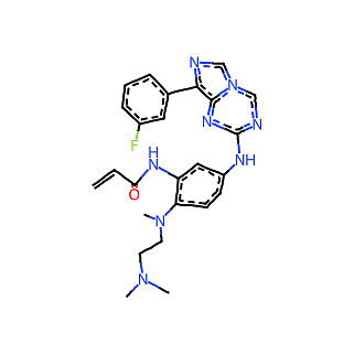 C=CC(=O)Nc1cc(Nc2ncn3cnc(-c4cccc(F)c4)c3n2)ccc1N(C)CCN(C)C